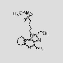 CCc1nc2c(N)nc3c(c2n1CCCCS(=O)(=O)NC)CCCC3